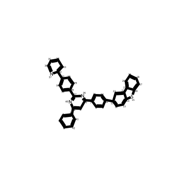 c1ccc(-c2cc(-c3ccc(-c4ccc5sc6ccccc6c5c4)cc3)nc(-c3ccc(-c4ccccn4)cc3)n2)cc1